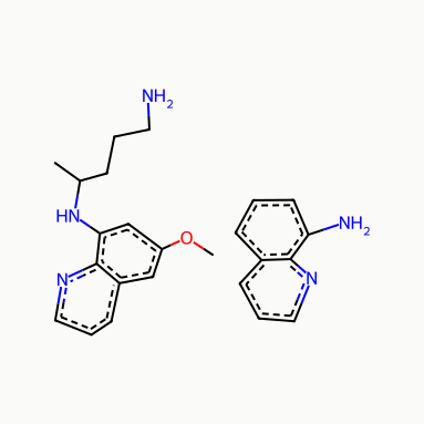 COc1cc(NC(C)CCCN)c2ncccc2c1.Nc1cccc2cccnc12